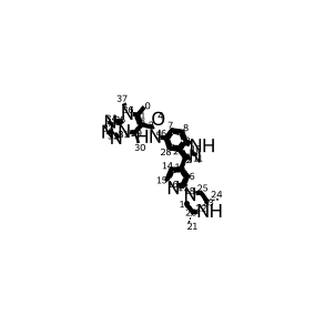 CC1=C(C(=O)Nc2ccc3[nH]nc(-c4ccnc(N5C[C@@H](C)N[C@@H](C)C5)c4)c3c2)[C@@H](C)n2nnnc2N1C